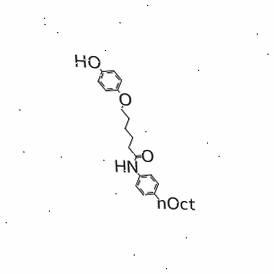 CCCCCCCCc1ccc(NC(=O)CCCCCOc2ccc(O)cc2)cc1